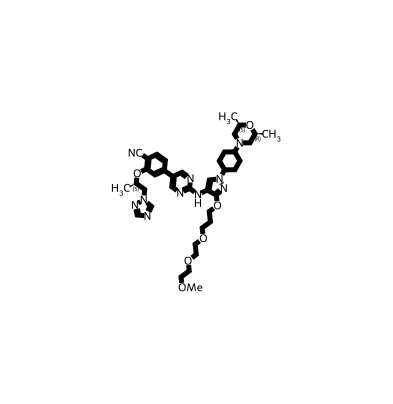 COCCOCCOCCCOc1nn(C2CCC(N3C[C@@H](C)O[C@@H](C)C3)CC2)cc1Nc1ncc(-c2ccc(C#N)c(O[C@@H](C)Cn3cncn3)c2)cn1